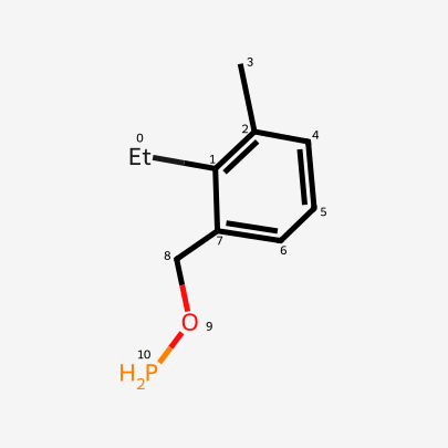 CCc1c(C)cccc1COP